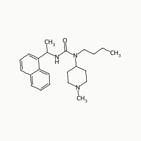 CCCCN(C(=O)NC(C)c1cccc2ccccc12)C1CCN(C)CC1